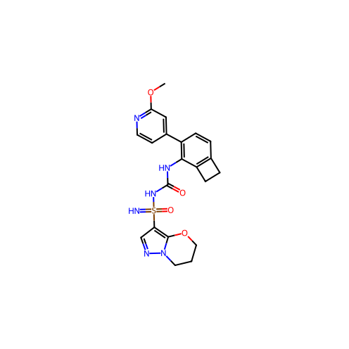 COc1cc(-c2ccc3c(c2NC(=O)NS(=N)(=O)c2cnn4c2OCCC4)CC3)ccn1